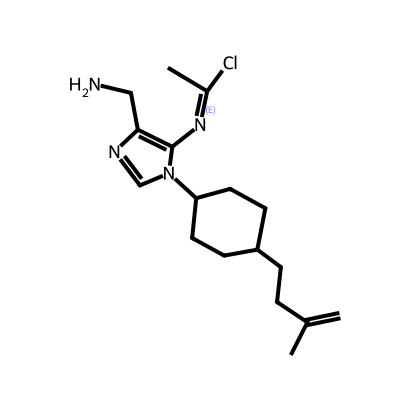 C=C(C)CCC1CCC(n2cnc(CN)c2/N=C(\C)Cl)CC1